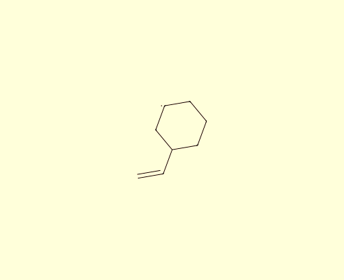 C=CC1C[CH]CCC1